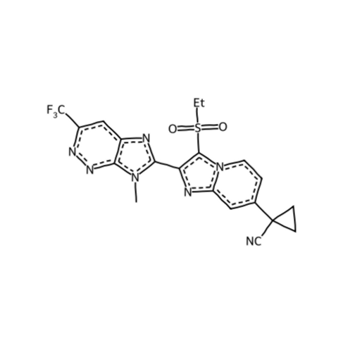 CCS(=O)(=O)c1c(-c2nc3cc(C(F)(F)F)nnc3n2C)nc2cc(C3(C#N)CC3)ccn12